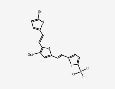 CCCCCCCCc1cc(/C=C/c2ccc([Si](Cl)(Cl)Cl)s2)sc1/C=C/c1ccc(CC)s1